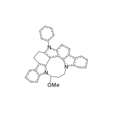 COC1CCn2c3ccccc3c3ccc4c(c5c(n4-c4ccccc4)CCc4c-5n1c1ccccc41)c32